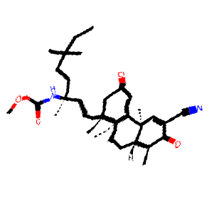 CCC(C)(C)CC[C@@](C)(CC[C@]1(C)CC(=O)C=C2[C@@]3(C)C=C(C#N)C(=O)[C@@H](C)[C@@H]3CC[C@]21C)NC(=O)OC